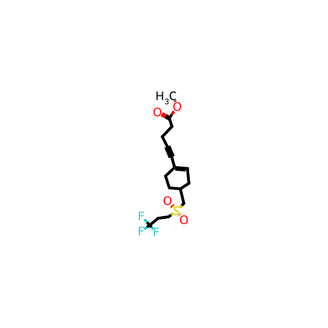 COC(=O)CCC#CC1=CCC(CS(=O)(=O)CCC(F)(F)F)CC1